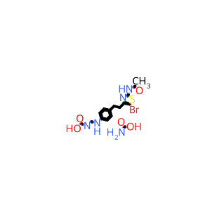 CC(=O)Nc1nc(CCc2ccc(NC=NC(=O)O)cc2)c(Br)s1.NC(=O)O